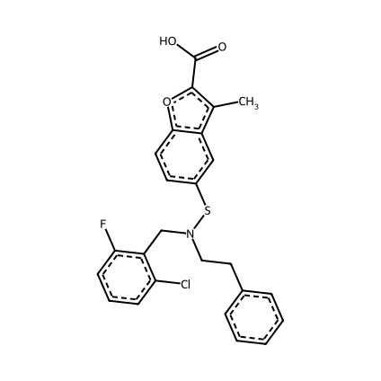 Cc1c(C(=O)O)oc2ccc(SN(CCc3ccccc3)Cc3c(F)cccc3Cl)cc12